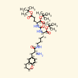 CC(C)(C)OC(=O)CC[C@H](NC(=O)N[C@@H](CCCCNC(=O)[C@H](N)Cc1ccc2c(c1)CCCO2)C(=O)OC(C)(C)C)C(=O)OC(C)(C)C